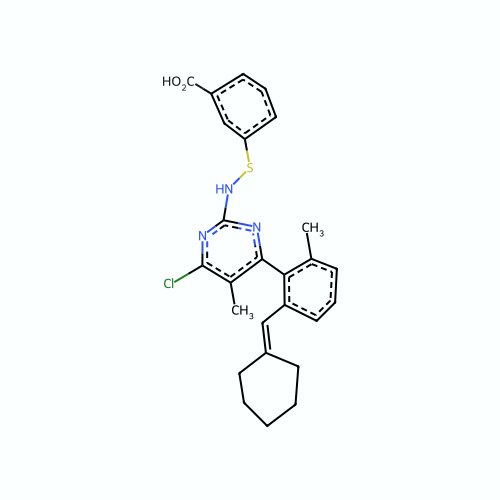 Cc1cccc(C=C2CCCCC2)c1-c1nc(NSc2cccc(C(=O)O)c2)nc(Cl)c1C